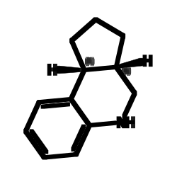 c1ccc2c(c1)NC[C@H]1CCC[C@@H]21